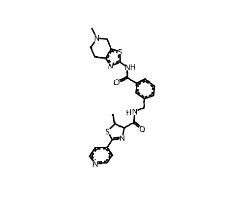 CC1SC(c2ccncc2)=NC1C(=O)NCc1cccc(C(=O)Nc2nc3c(s2)CN(C)CC3)c1